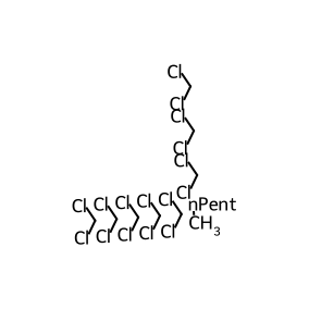 CCCCCC.ClCCl.ClCCl.ClCCl.ClCCl.ClCCl.ClCCl.ClCCl.ClCCl